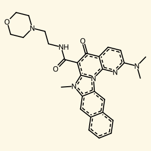 CN(C)c1ccc2c(=O)c(C(=O)NCCN3CCOCC3)c3n(C)c4cc5ccccc5cc4n3c2n1